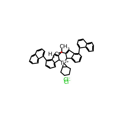 CCC1=Cc2c(-c3cccc4ccccc34)cccc2[CH]1[Ti+2]1([CH]2C(CC)=Cc3c(-c4cccc5ccccc45)cccc32)[CH]2CCCC[CH]21.[Cl-].[Cl-]